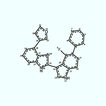 Fc1c(-c2cccnc2)ncc2[nH]nc(-c3nc4c(-c5ccoc5)cccc4[nH]3)c12